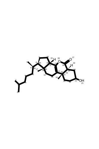 CC(C)CCC[C@@H](C)[C@H]1CC[C@@H]2C3=C(CC[C@@]21C)[C@@]1(C)CCC(O)C[C@@H]1C(=O)O3